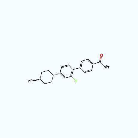 CCCC(=O)c1ccc(-c2ccc([C@H]3CC[C@H](CCC)CC3)cc2F)cc1